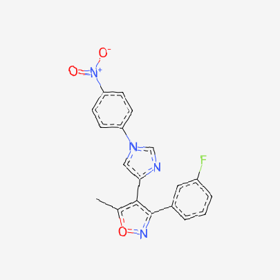 Cc1onc(-c2cccc(F)c2)c1-c1cn(-c2ccc([N+](=O)[O-])cc2)cn1